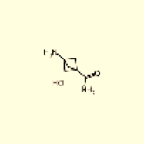 Cl.NC(=O)C12CC(N)(C1)C2